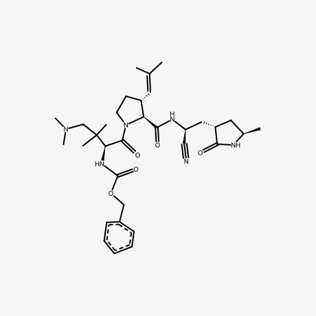 CC(C)=C[C@H]1CCN(C(=O)[C@@H](NC(=O)OCc2ccccc2)C(C)(C)CN(C)C)[C@@H]1C(=O)N[C@H](C#N)C[C@@H]1C[C@@H](C)NC1=O